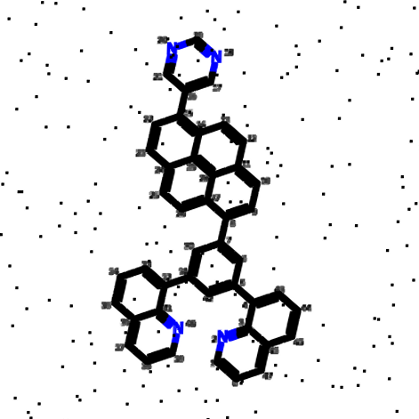 c1cnc2c(-c3cc(-c4ccc5ccc6c(-c7cncnc7)ccc7ccc4c5c76)cc(-c4cccc5cccnc45)c3)cccc2c1